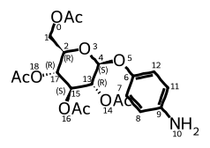 CC(=O)OC[C@H]1O[C@@H](Oc2ccc(N)cc2)[C@H](OC(C)=O)[C@@H](OC(C)=O)[C@@H]1OC(C)=O